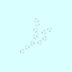 CC1(C)c2cc(-c3ccc4ccccc4c3)ccc2-c2ccc(C(c3ccc(-c4ccc(-c5ccccc5)cc4)cc3)c3cccc(-c4cccc(-c5cccc6c5oc5ccccc56)c4)c3)cc21